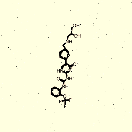 O=C(Nc1nc(=O)c(-c2ccc(CNCC(O)CO)cc2)c[nH]1)Nc1ccccc1OC(F)(F)F